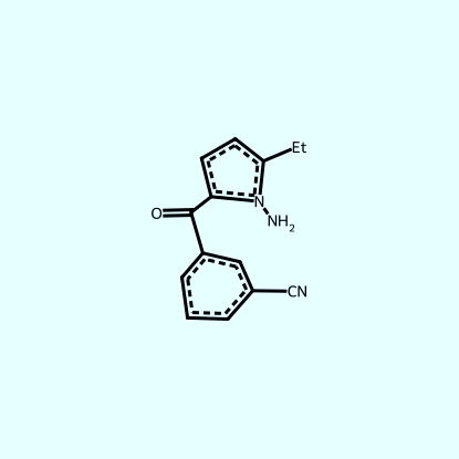 CCc1ccc(C(=O)c2cccc(C#N)c2)n1N